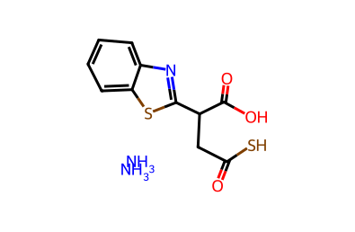 N.N.O=C(S)CC(C(=O)O)c1nc2ccccc2s1